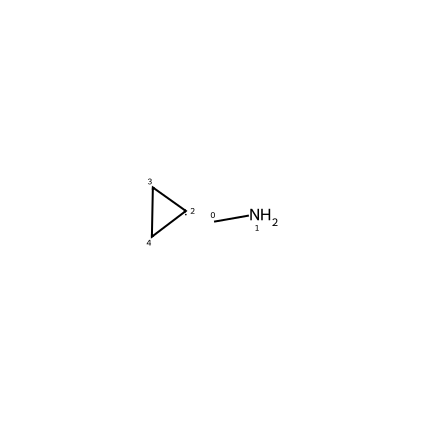 CN.[CH]1CC1